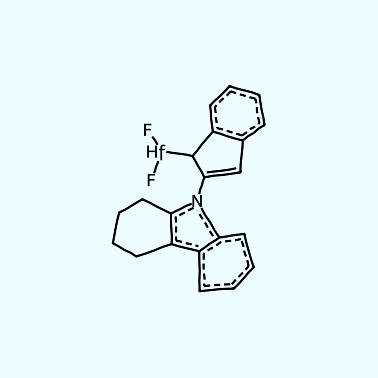 [F][Hf]([F])[CH]1C(n2c3c(c4ccccc42)CCCC3)=Cc2ccccc21